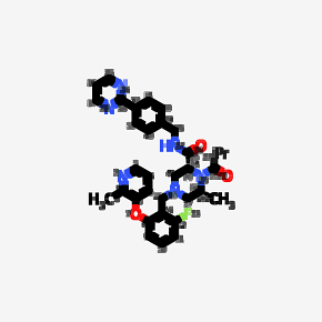 Cc1ncccc1Oc1cccc(F)c1CN1C[C@@H](C)N(C(=O)C(C)C)[C@@H](C(=O)NCc2ccc(-c3ncccn3)cc2)C1